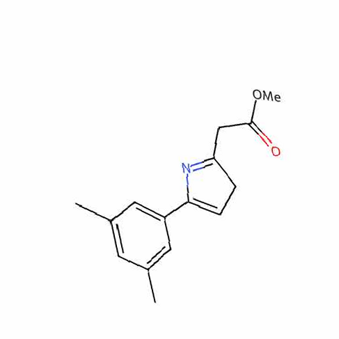 COC(=O)CC1=NC(c2cc(C)cc(C)c2)=CC1